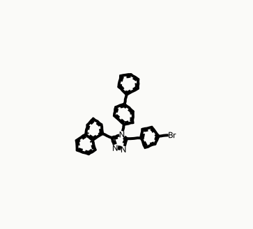 Brc1ccc(-c2nnc(-c3cccc4ccccc34)n2-c2ccc(-c3ccccc3)cc2)cc1